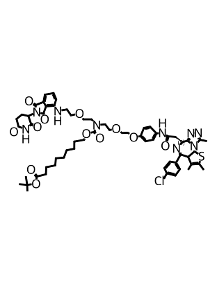 CC1=C(C)C2C(c3ccc(Cl)cc3)=N[C@@H](CC(=O)Nc3ccc(OCCOCCN(CCOCCNc4cccc5c4C(=O)N(C4CCC(=O)NC4=O)C5=O)C(=O)OCCCCCCCCCC(=O)OC(C)(C)C)cc3)c3nnc(C)n3C2S1